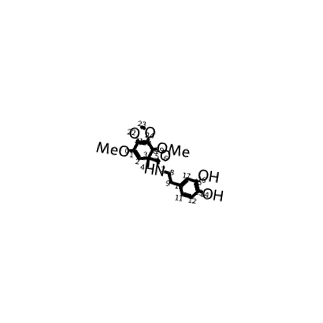 COC1=CC(C)(C(=O)NCCc2ccc(O)c(O)c2)C(OC)C2=C1OCO2